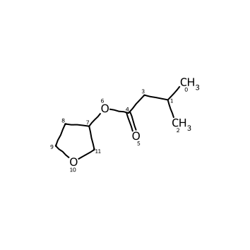 CC(C)CC(=O)OC1CCOC1